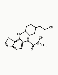 C[C@@H](O)C(=O)Nc1cnc2ccsc2c1NC1CCC(CCC#N)CC1